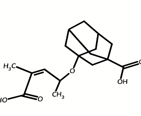 CC(=CC(C)OC12CC3CC(C1)CC(C(=O)O)(C3)C2)C(=O)O